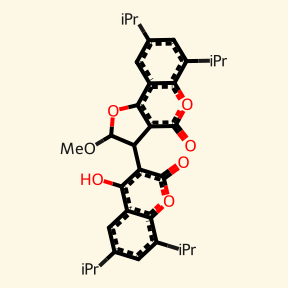 COC1Oc2c(c(=O)oc3c(C(C)C)cc(C(C)C)cc23)C1c1c(O)c2cc(C(C)C)cc(C(C)C)c2oc1=O